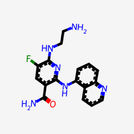 NCCNc1nc(Nc2cccc3ncccc23)c(C(N)=O)cc1F